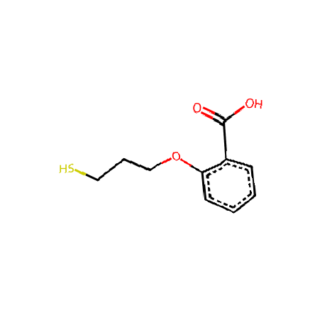 O=C(O)c1ccccc1OCCCS